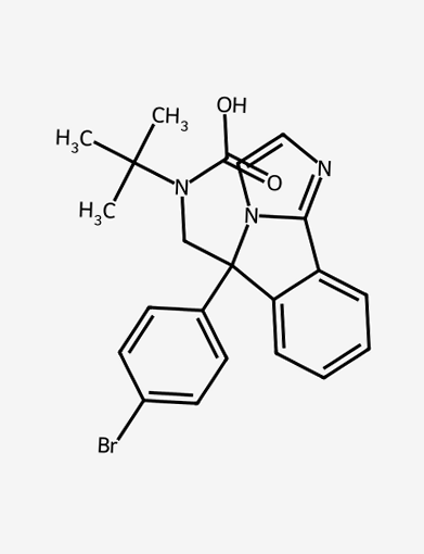 CC(C)(C)N(CC1(c2ccc(Br)cc2)c2ccccc2-c2nccn21)C(=O)O